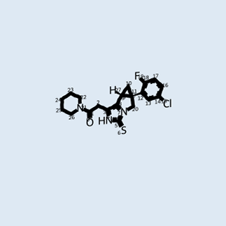 O=C(Cc1[nH]c(=S)n2c1[C@@H]1C[C@]1(c1cc(Cl)ccc1F)C2)N1CCCCC1